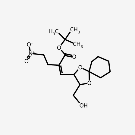 CC(C)(C)OC(=O)C(=CC1OC2(CCCCC2)OC1CO)CC[N+](=O)[O-]